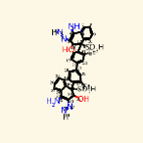 [H]/N=N/C1=C(N)c2ccccc2C(c2ccc(-c3ccc(C4(S(=O)(=O)O)c5ccccc5C(N)=C(/N=N/[H])C4O)c(CC)c3)cc2CC)(S(=O)(=O)O)C1O